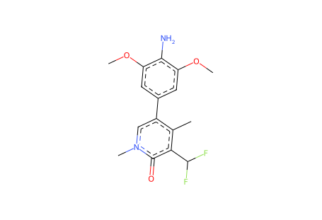 COc1cc(-c2cn(C)c(=O)c(C(F)F)c2C)cc(OC)c1N